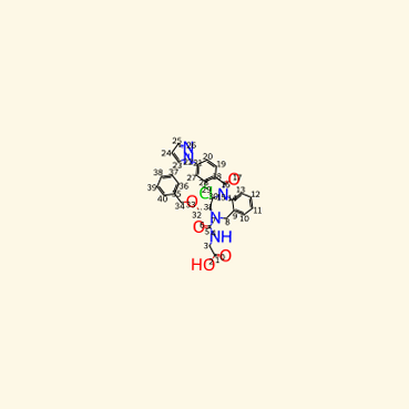 O=C(O)CNC(=O)N1Cc2ccccc2N(C(=O)c2ccc(-n3cccn3)cc2Cl)C[C@H]1COCc1ccccc1